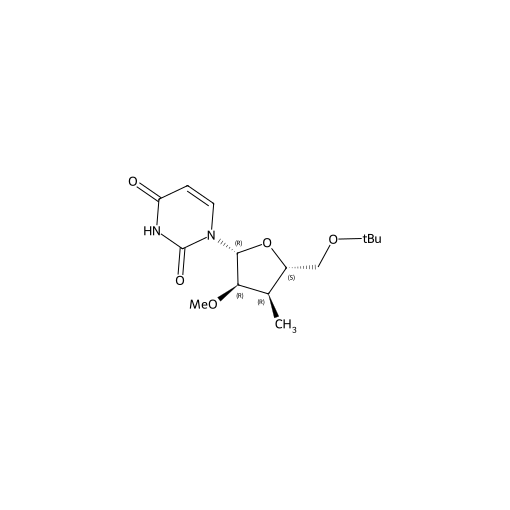 CO[C@@H]1[C@H](C)[C@@H](COC(C)(C)C)O[C@H]1n1ccc(=O)[nH]c1=O